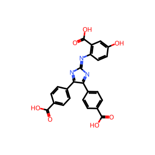 O=C(O)c1ccc(C2=NC(=Nc3ccc(O)cc3C(=O)O)N=C2c2ccc(C(=O)O)cc2)cc1